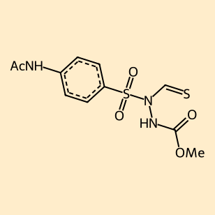 COC(=O)NN(C=S)S(=O)(=O)c1ccc(NC(C)=O)cc1